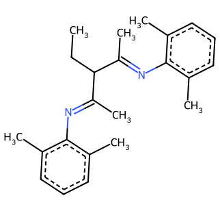 CCC(C(C)=Nc1c(C)cccc1C)C(C)=Nc1c(C)cccc1C